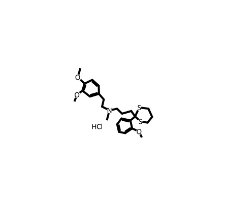 COc1ccc(CCN(C)CCCC2(c3ccccc3OC)SCCCS2)cc1OC.Cl